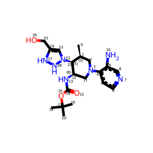 C[C@H]1CN(c2ccncc2N)C[C@@H](NC(=O)OC(C)(C)C)[C@H]1N1C=C(CO)NN1